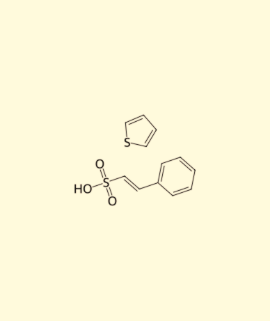 O=S(=O)(O)C=Cc1ccccc1.c1ccsc1